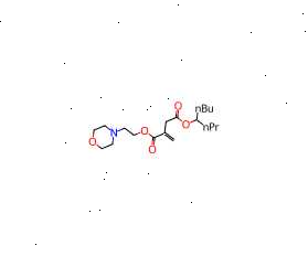 C=C(CC(=O)OC(CCC)CCCC)C(=O)OCCN1CCOCC1